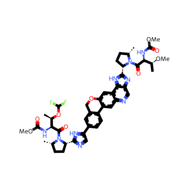 COC(=O)N[C@H](C(=O)N1[C@@H](C)CC[C@H]1c1nc2cnc3cc4c(cc3c2[nH]1)OCc1cc(-c2cnc([C@@H]3CC[C@H](C)N3C(=O)[C@@H](NC(=O)OC)[C@@H](C)OC(F)F)[nH]2)ccc1-4)[C@@H](C)OC